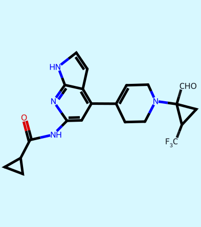 O=CC1(N2CC=C(c3cc(NC(=O)C4CC4)nc4[nH]ccc34)CC2)CC1C(F)(F)F